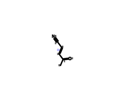 CC(=O)/C=C/C#N